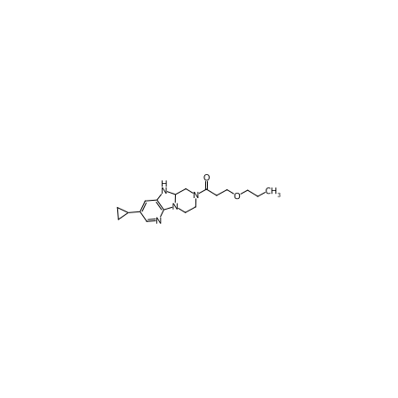 CCCOCCC(=O)N1CCN2c3ncc(C4CC4)cc3NC2C1